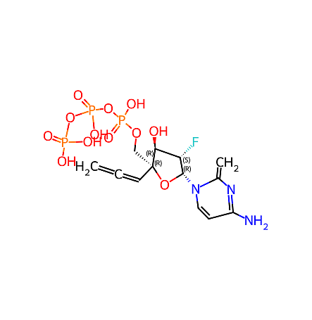 C=C=C[C@]1(COP(=O)(O)OP(=O)(O)OP(=O)(O)O)O[C@@H](N2C=CC(N)=NC2=C)[C@@H](F)[C@@H]1O